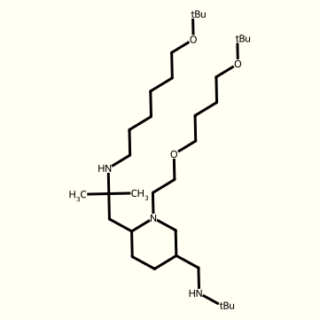 CC(C)(C)NCC1CCC(CC(C)(C)NCCCCCCOC(C)(C)C)N(CCOCCCCOC(C)(C)C)C1